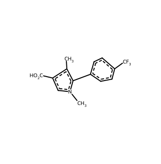 Cc1c(C(=O)O)cn(C)c1-c1ccc(C(F)(F)F)cc1